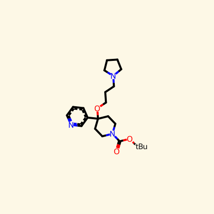 CC(C)(C)OC(=O)N1CCC(OCCCN2CCCC2)(c2cccnc2)CC1